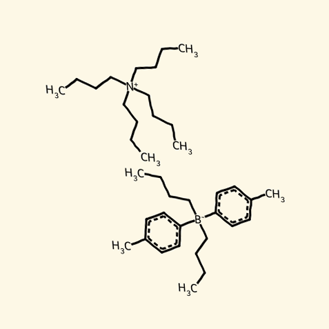 CCCC[B-](CCCC)(c1ccc(C)cc1)c1ccc(C)cc1.CCCC[N+](CCCC)(CCCC)CCCC